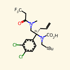 C=CC[C@@](CN(C)C(=O)CC(F)(F)F)(c1ccc(Cl)c(Cl)c1)N(CC(C)(C)C)C(=O)O